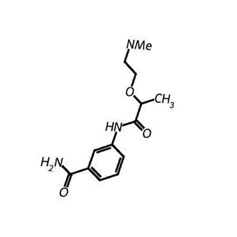 CNCCOC(C)C(=O)Nc1cccc(C(N)=O)c1